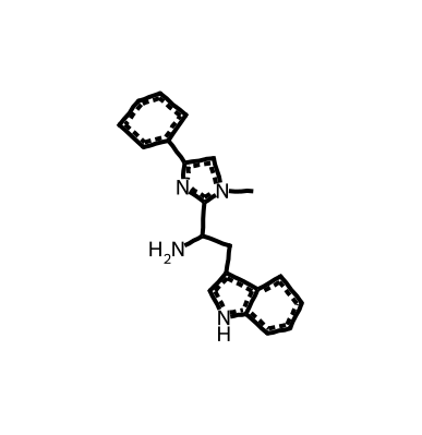 Cn1cc(-c2ccccc2)nc1C(N)Cc1c[nH]c2ccccc12